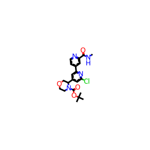 CNC(=O)c1cc(-c2cc(C3COCCN3C(=O)OC(C)(C)C)cc(Cl)n2)ccn1